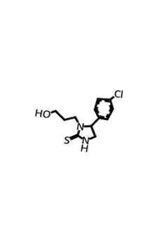 OCCCN1C(=S)NCC1c1ccc(Cl)cc1